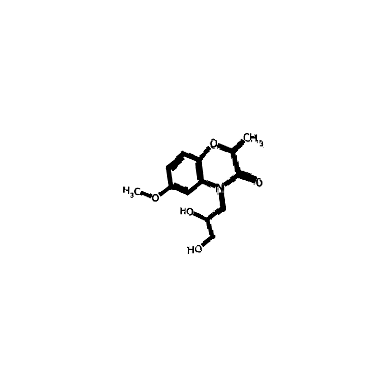 COc1ccc2c(c1)N(CC(O)CO)C(=O)C(C)O2